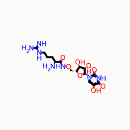 N=C(N)NCCC[C@H](N)C(=O)NOC[C@H]1O[C@@H](n2cc(O)c(=O)[nH]c2=O)[C@H](O)[C@@H]1O